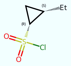 CC[C@H]1C[C@H]1S(=O)(=O)Cl